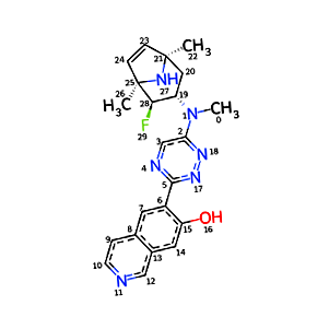 CN(c1cnc(-c2cc3ccncc3cc2O)nn1)[C@H]1C[C@]2(C)C=C[C@@](C)(N2)[C@@H]1F